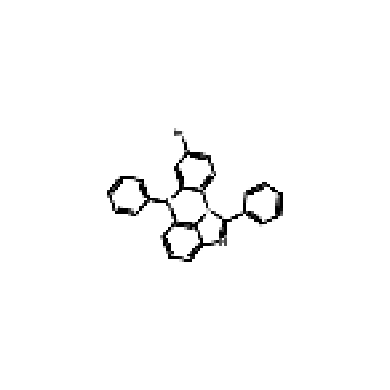 Brc1ccc2c(c1)N(c1ccccc1)c1cccc3nc(-c4ccccc4)n-2c13